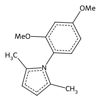 COc1ccc(-n2c(C)ccc2C)c(OC)c1